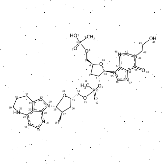 CP(=O)(O)OC[C@@H]1C[C@@H](OP(C)(=O)OC[C@@H]2C[C@@H](F)[C@H](n3cc4c5c(ncnc53)NCCC4)O2)[C@H](n2cnc3c(=O)n(CCO)cnc32)O1